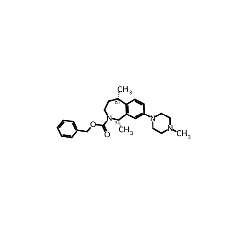 C[C@H]1CCN(C(=O)OCc2ccccc2)[C@@H](C)c2cc(N3CCN(C)CC3)ccc21